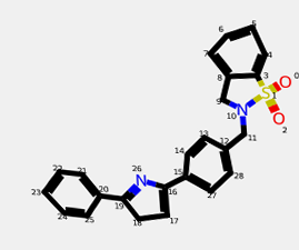 O=S1(=O)c2ccccc2CN1Cc1ccc(C2=CCC(c3ccccc3)=N2)cc1